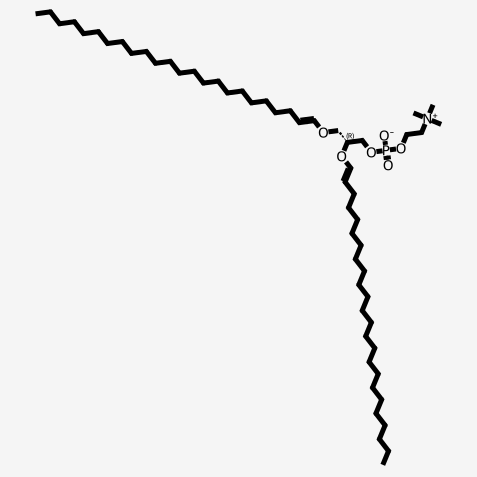 CCCCCCCCCCCCCCCCCCCCCCC=COC[C@H](COP(=O)([O-])OCC[N+](C)(C)C)OC=CCCCCCCCCCCCCCCCCCCCCCC